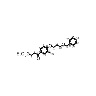 CCOC(=O)CCC(=O)c1ccc(OCCCOCc2ccccc2)c(I)c1